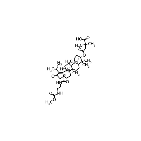 COC(=O)NCCNC(=O)[C@@]12CC[C@]3(C)[C@H](CCC4C3(C)CCC3C(C)(C)[C@@H](OC(=O)CC(C)(C)C(=O)O)CC[C@@]34C)C1=C(C(C)C)C(=O)C2